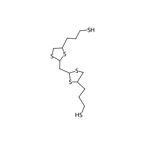 SCCCC1CSC(CC2SCC(CCCS)S2)S1